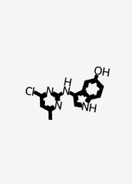 Cc1cc(Cl)nc(Nc2c[nH]c3ccc(O)cc23)n1